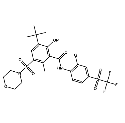 Cc1c(S(=O)(=O)N2CCOCC2)cc(C(C)(C)C)c(O)c1C(=O)Nc1ccc(S(=O)(=O)C(F)(F)F)cc1Cl